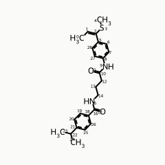 C/C=C(/SC)c1ccc(NC(=O)CCCNC(=O)c2ccc(C(C)C)cc2)cc1